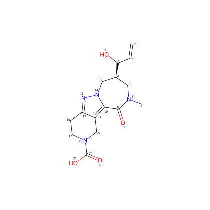 C=CC(O)[C@H]1CN(C)C(=O)c2c3c(nn2C1)CCN(C(=O)O)C3